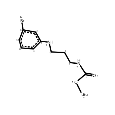 CC(C)(C)OC(=O)NCCCNc1cccc(Br)c1